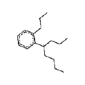 CCCC[C](CCC)c1ccccc1CCC